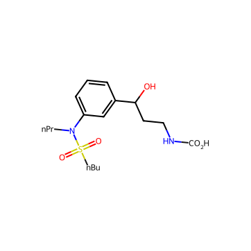 CCCCS(=O)(=O)N(CCC)c1cccc(C(O)CCNC(=O)O)c1